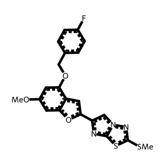 COc1cc(OCc2ccc(F)cc2)c2cc(-c3cn4nc(SC)sc4n3)oc2c1